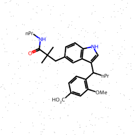 CCCNC(=O)C(C)(C)Cc1ccc2[nH]cc(C(CCC)c3ccc(C(=O)O)cc3OC)c2c1